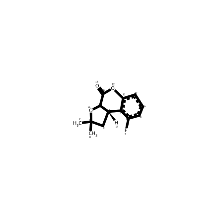 CC1(C)C[C@H]2c3c(F)cccc3OC(=O)C2O1